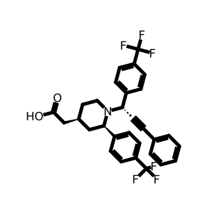 O=C(O)C[C@H]1CCN([C@@H](C#Cc2ccccc2)c2ccc(C(F)(F)F)cc2)[C@@H](c2ccc(C(F)(F)F)cc2)C1